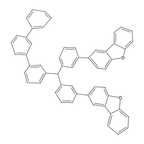 c1ccc(-c2cccc(-c3cccc(C(c4cccc(-c5ccc6oc7ccccc7c6c5)c4)c4cccc(-c5ccc6oc7ccccc7c6c5)c4)c3)c2)cc1